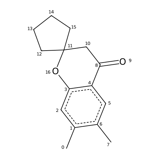 Cc1cc2c(cc1C)C(=O)CC1(CCCC1)O2